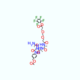 CC(=O)OCc1ccc(NC(=O)[C@H](CC(N)=O)NC(=O)[C@H](C)NC(=O)[C@H](C)NC(=O)CCOCCOCCC(=O)Oc2c(F)c(F)c(F)c(F)c2F)cc1